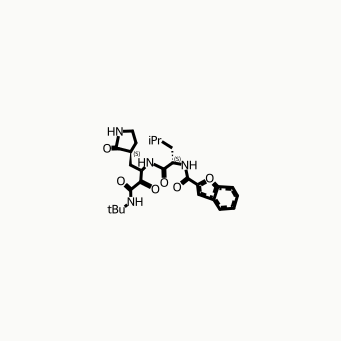 CC(C)C[C@H](NC(=O)c1cc2ccccc2o1)C(=O)NC(C[C@@H]1CCNC1=O)C(=O)C(=O)NC(C)(C)C